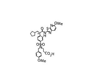 COc1ccc(CN(CCC(=O)O)S(=O)(=O)c2ccc([C@@H](CC3CCCC3)C(=O)Nc3nc4ccc(OC)nc4s3)cc2)cc1